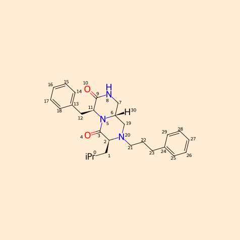 CC(C)C[C@H]1C(=O)N2[C@H](CNC(=O)[C@@H]2Cc2ccccc2)CN1CCCc1ccccc1